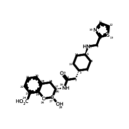 O=C(C[C@H]1CC[C@H](NCc2nccs2)CC1)N[C@H]1Cc2cccc(C(=O)O)c2OB1O